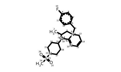 CC(C)C[N+]1(Cc2ccc(F)cc2)CC=CN=C1OC1CCN(S(C)(=O)=O)CC1